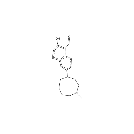 CN1CCCCC(c2ccc3c(C=O)c(O)ccc3c2)CC1